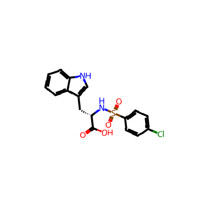 O=C(O)[C@H](Cc1c[nH]c2ccccc12)NS(=O)(=O)c1ccc(Cl)cc1